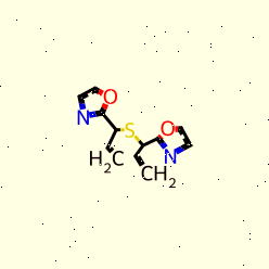 C=CC(SC(C=C)c1ncco1)c1ncco1